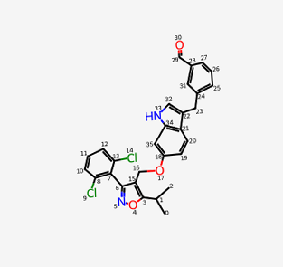 CC(C)c1onc(-c2c(Cl)cccc2Cl)c1COc1ccc2c(Cc3cccc(C=O)c3)c[nH]c2c1